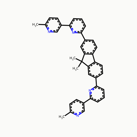 Cc1ccc(-c2cccc(-c3ccc4c(c3)C(C)(C)c3cc(-c5cccc(-c6ccc(C)nc6)n5)ccc3-4)n2)cn1